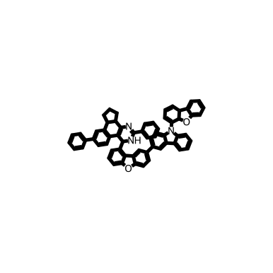 C1=CC2c3ccccc3OC2C(n2c3ccccc3c3cc(-c4ccc5oc6cccc(C7NC(c8ccccc8)=NC8=C7c7ccc(-c9ccccc9)cc7C7CCCC87)c6c5c4)ccc32)=C1